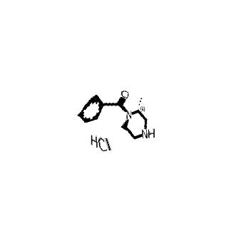 C[C@@H]1CNCCN1C(=O)c1ccccc1.Cl